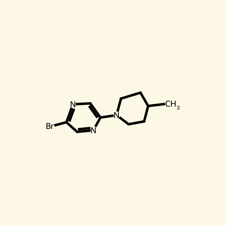 CC1CCN(c2cnc(Br)cn2)CC1